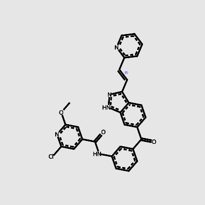 COc1cc(C(=O)Nc2cccc(C(=O)c3ccc4c(/C=C/c5ccccn5)n[nH]c4c3)c2)cc(Cl)n1